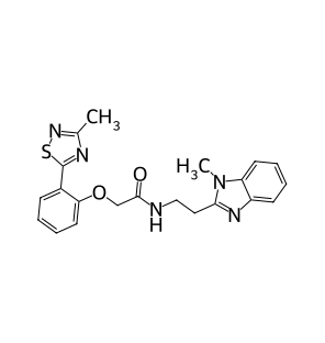 Cc1nsc(-c2ccccc2OCC(=O)NCCc2nc3ccccc3n2C)n1